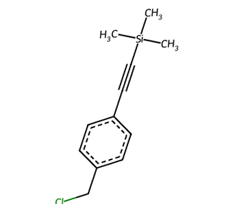 C[Si](C)(C)C#Cc1ccc(CCl)cc1